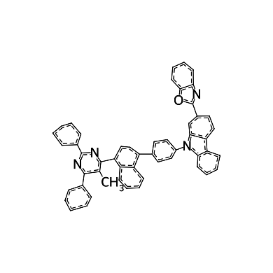 Cc1c(-c2ccccc2)nc(-c2ccccc2)nc1-c1ccc(-c2ccc(-n3c4ccccc4c4ccc(-c5nc6ccccc6o5)cc43)cc2)c2ccccc12